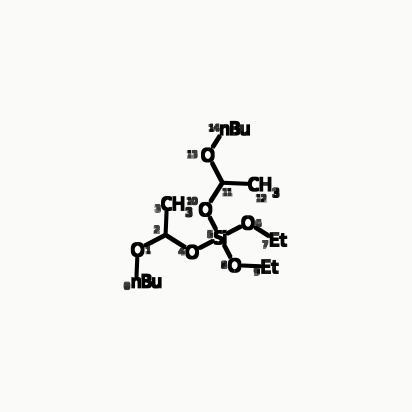 CCCCOC(C)O[Si](OCC)(OCC)OC(C)OCCCC